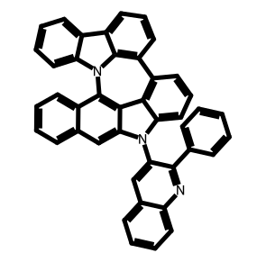 c1ccc(-c2nc3ccccc3cc2-n2c3cccc4c5cccc6c7ccccc7n(c56)c5c6ccccc6cc2c5c43)cc1